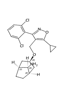 N[C@H]1[C@@H]2CC[C@H]1C[C@@H](OCc1c(-c3c(Cl)cccc3Cl)noc1C1CC1)C2